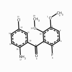 COc1ccc(F)c(C(=O)c2cc(Cl)ccc2N)c1OC